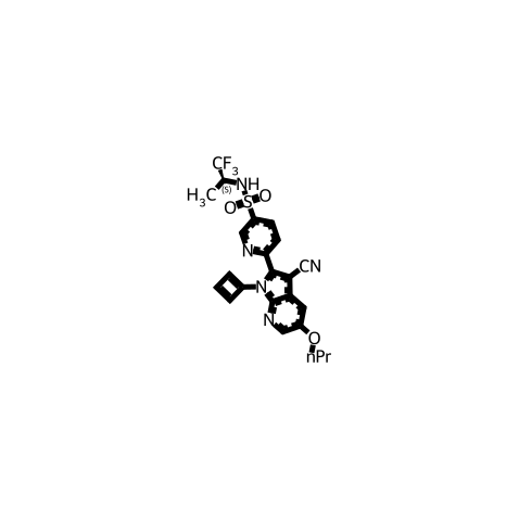 CCCOc1cnc2c(c1)c(C#N)c(-c1ccc(S(=O)(=O)N[C@@H](C)C(F)(F)F)cn1)n2C1=CC=C1